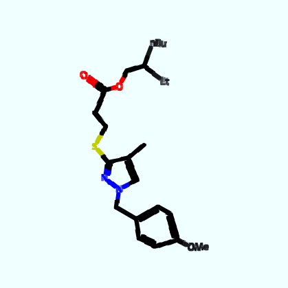 CCCCC(CC)COC(=O)CCSc1nn(Cc2ccc(OC)cc2)cc1C